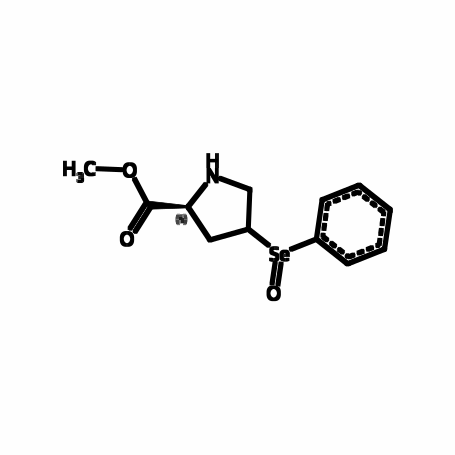 COC(=O)[C@@H]1CC([Se](=O)c2ccccc2)CN1